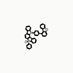 O=P1(c2ccccc2)c2ccccc2-c2c1ccc1c3ccccc3n(-c3ccc(-c4cccc5oc6ccccc6c45)cc3)c21